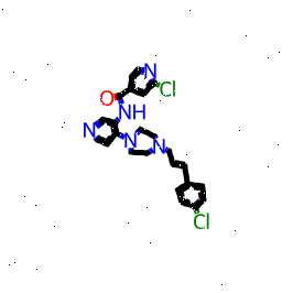 O=C(Nc1cnccc1N1CCN(C/C=C/c2ccc(Cl)cc2)CC1)c1ccnc(Cl)c1